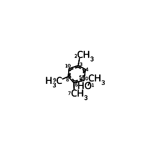 CO.Cc1ccc(C)c(C)c1